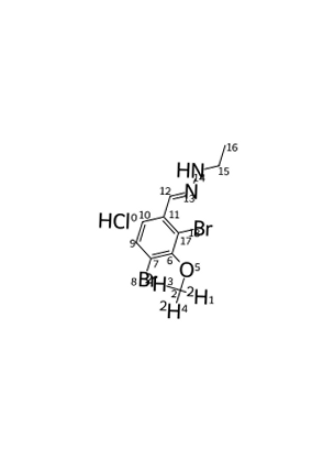 Cl.[2H]C([2H])([2H])Oc1c(Br)ccc(/C=N/NCC)c1Br